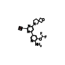 Nc1ncc(-c2cc(N3CCC4(COC4)C3)nc(N3CC4CC3C4)n2)cc1OC(F)F